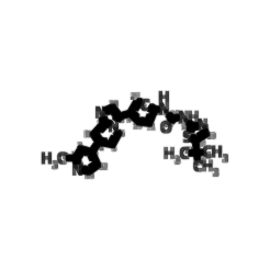 Cc1cc(-c2ccn3c(-c4ccc(NC(=O)Nc5ncc(C(C)(C)C)s5)cc4)cnc3c2)ccn1